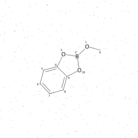 COB1Oc2ccccc2O1